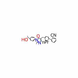 CCCc1nc(C)n(-c2ccc(C(C)O)cc2)c(=O)c1Cc1ccc(-c2ccccc2C#N)cc1